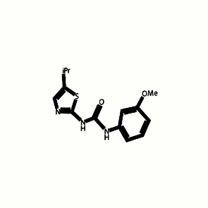 COc1cccc(NC(=O)Nc2ncc(C(C)C)s2)c1